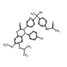 COc1cc2c(cc1OC(C)C)[C@H](c1ccc(Cl)cc1)N(c1ccc(C(C)(O)c3ccc(NC(C)=O)cc3)nc1)C(=O)C2